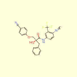 [C-]#[N+]c1ccc(NC(=O)[C@@](O)(COc2ccc(C#N)cc2)Cc2ccccc2)cc1C(F)(F)F